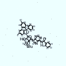 Cc1ccc(C(OC[C@H]2O[C@@H](n3cnc4c(NC(=O)c5ccccc5)ncnc43)[C@@H](O[Si](C)(C)C(C)(C)C)C2O)(c2ccccc2)c2ccc(C)cc2)cc1